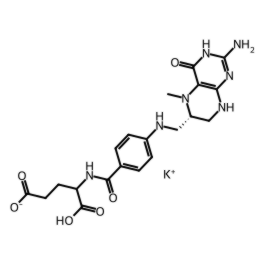 CN1c2c(nc(N)[nH]c2=O)NC[C@@H]1CNc1ccc(C(=O)NC(CCC(=O)[O-])C(=O)O)cc1.[K+]